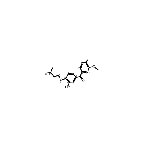 COc1nc(C(=O)c2ccc(OCCC(C)C)c(Cl)c2)ccc1Cl